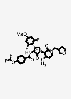 COc1cc(F)c([C@@H]2CN(c3c(C)ccn(CC4CCOC4)c3=O)C(=O)C2NC(=O)c2ccc(OC(F)F)cc2)c(F)c1